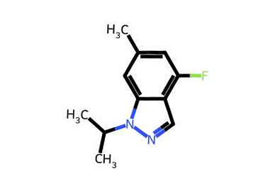 Cc1cc(F)c2cnn(C(C)C)c2c1